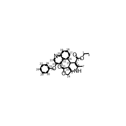 CCOC(=O)C1=C(C)NC2=C(C(=O)OC2)C1c1cccc2ncc(Oc3ccccc3)cc12